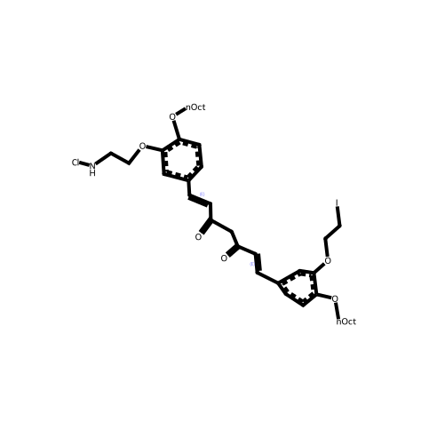 CCCCCCCCOc1ccc(/C=C/C(=O)CC(=O)/C=C/c2ccc(OCCCCCCCC)c(OCCNCl)c2)cc1OCCI